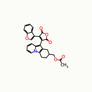 CC(=O)OCC1CCc2c(c(C3=C(c4coc5ccccc45)C(=O)OC3=O)c3ccccn23)C1